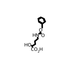 O=C(NCCCC(O)C(=O)O)OCc1ccccc1